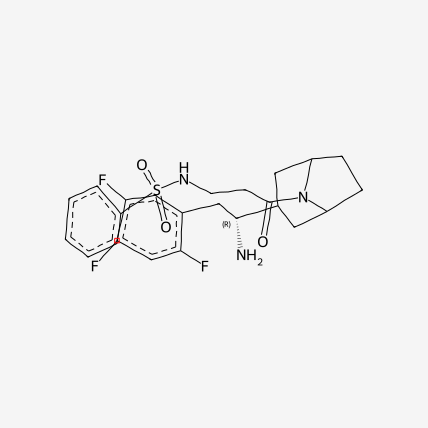 N[C@H](Cc1cc(F)c(F)cc1F)C1CC2CCC(C1)N2C(=O)CCNS(=O)(=O)c1ccccc1